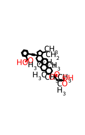 C=C(C)C1CCC2(C#Cc3ccccc3C(=O)O)CC[C@]3(C)C(CCC4[C@@]5(C)CC[C@H](OC(=O)CC(C)(C)C(=O)O)C(C)(C)C5CC[C@]43C)C12